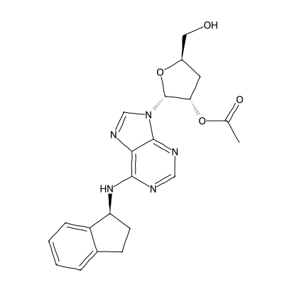 CC(=O)O[C@H]1C[C@H](CO)O[C@H]1n1cnc2c(N[C@H]3CCc4ccccc43)ncnc21